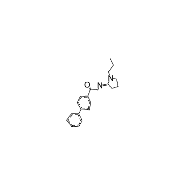 CCCN1CCC/C1=N\CC(=O)c1ccc(-c2ccccc2)cc1